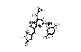 O=C1CC(=Cc2cnn3c(NC4CC4)cc(Nc4cc(Cl)ccc4O)nc23)C(=O)N1